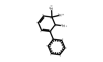 [2H]C1C(c2ccccc2)=CC=CC1([2H])[2H]